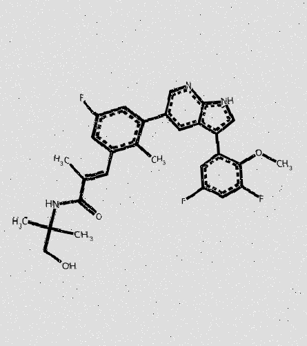 COc1c(F)cc(F)cc1-c1c[nH]c2ncc(-c3cc(F)cc(/C=C(\C)C(=O)NC(C)(C)CO)c3C)cc12